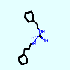 N=C(NCCc1ccccc1)NN=CC=Cc1ccccc1